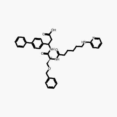 O=C(O)CC(NC(=O)[C@H](COCc1ccccc1)NC(=O)CCCCCNc1ccccn1)c1ccc(-c2ccccc2)cc1